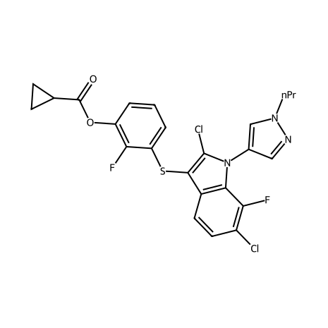 CCCn1cc(-n2c(Cl)c(Sc3cccc(OC(=O)C4CC4)c3F)c3ccc(Cl)c(F)c32)cn1